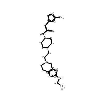 Cc1ncc(CC(=O)N[C@H]2CC[C@H](CCN3CCc4sc(OCC(F)(F)F)nc4C3)CC2)s1